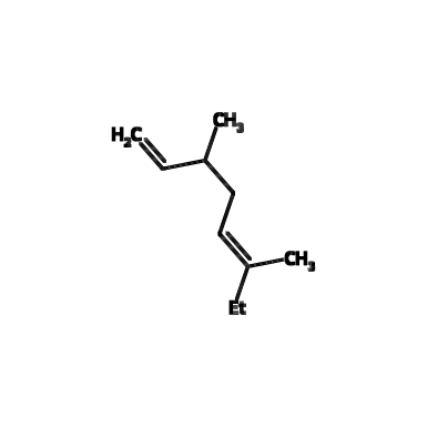 [CH2]CC(C)=CCC(C)C=C